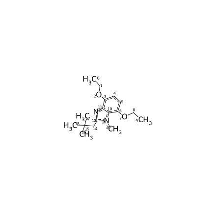 CCOc1ccc(OCC)c2c1nc(CC(C)(C)C)n2C